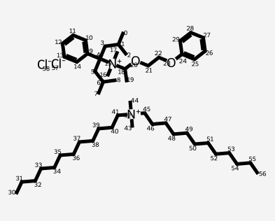 CC(C)CC(CC(C)C)(c1ccccc1)[N+](C)(C)C(C)OCCOc1ccccc1.CCCCCCCCCCCC[N+](C)(C)CCCCCCCCCCCC.[Cl-].[Cl-]